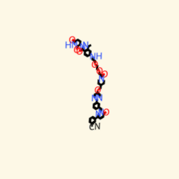 Cc1nn(C2CCC(=O)NC2=O)c(=O)c2ccc(NCCOCCOCC(=O)N3CCC(COc4cnc(-c5cccc(Cn6nc(-c7cccc(C#N)c7)ccc6=O)c5)nc4)CC3)cc12